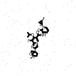 CC(C)Oc1c(C(=O)Nc2cccn([C@@H]3C[C@@H]3F)c2=O)cn2cc([C@@]34CC[C@@](C)(C3)OC4)nc2c1F